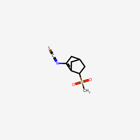 CS(=O)(=O)C1CC2CC(N=C=S)=C1C2